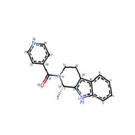 C[C@H]1c2[nH]c3ccccc3c2CCN1C(=O)c1ccncc1